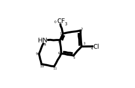 FC(F)(F)c1cc(Cl)cc2c1NCCC2